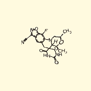 C[C@@H]1CN2c3c(cc4c(C#N)noc4c3F)CC3(C(=O)NC(=O)NC3=O)[C@H]2[C@H](C)O1